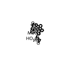 COc1nc(-c2cccc(-c3cccc(-c4ccn5c(=O)c(C)c(CN(CC(C)O)C(=O)OC(C)(C)C)nc5c4)c3Cl)c2Cl)ccc1CN(CC1CCC(=O)N1)C(=O)O